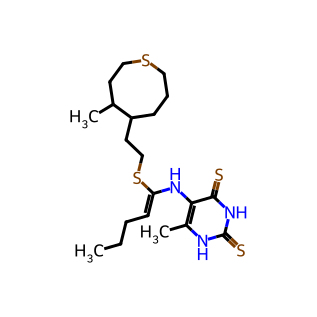 CCC/C=C(/Nc1c(C)[nH]c(=S)[nH]c1=S)SCCC1CCCSCCC1C